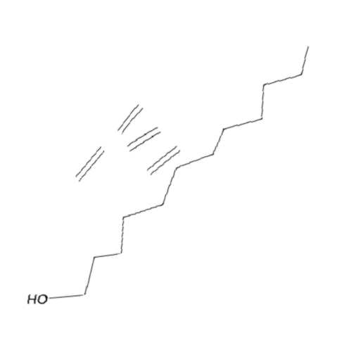 C=C.C=C.C=C.C=C.CCCCCCCCCCCCO